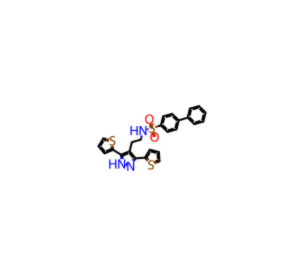 O=S(=O)(NCCc1c(-c2cccs2)n[nH]c1-c1cccs1)c1ccc(-c2ccccc2)cc1